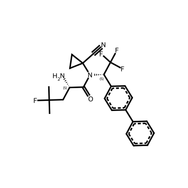 CC(C)(F)C[C@H](N)C(=O)N([C@@H](c1ccc(-c2ccccc2)cc1)C(F)(F)F)C1(C#N)CC1